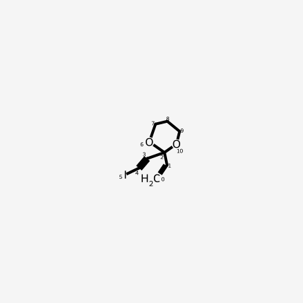 C=CC1(C#CI)OCCCO1